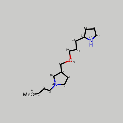 COCCCN1CCC(COCCCC2CCCN2)C1